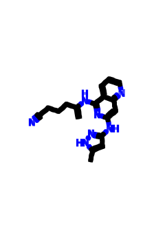 C=C(CCCC#N)Nc1nc(Nc2cc(C)[nH]n2)cc2ncccc12